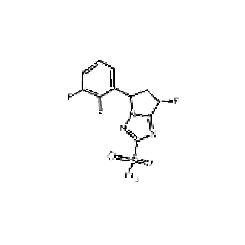 O=S(=O)(c1nc2n(n1)C(c1cccc(F)c1F)C[C@H]2F)C(F)(F)F